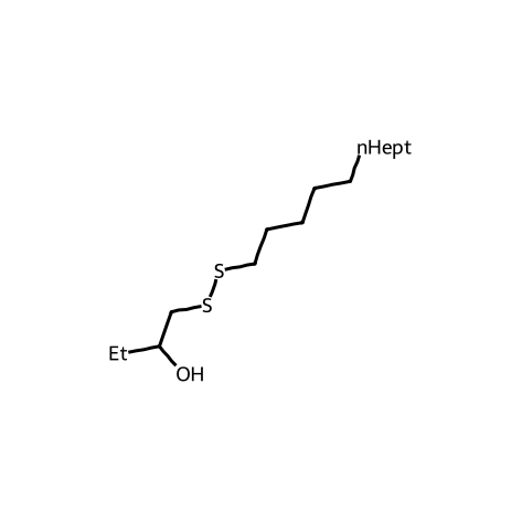 CCCCCCCCCCCCSSCC(O)CC